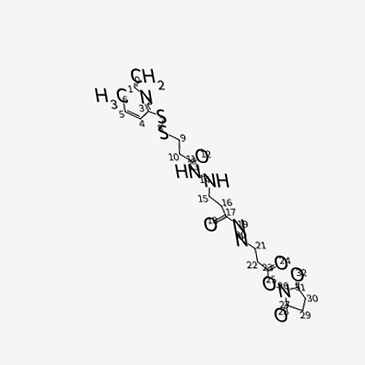 C=C/N=C(\C=C/C)SSCCC(=O)NNCCC(=O)N=NCCC(=O)ON1C(=O)CCC1=O